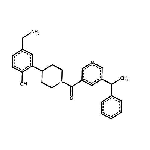 CC(c1ccccc1)c1cncc(C(=O)N2CCC(c3cc(CN)ccc3O)CC2)c1